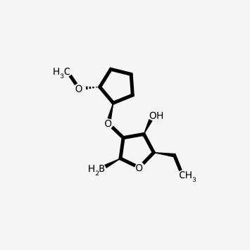 B[C@@H]1O[C@H](CC)[C@H](O)C1O[C@@H]1CCC[C@H]1OC